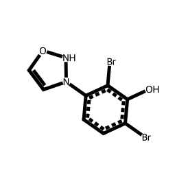 Oc1c(Br)ccc(N2C=CON2)c1Br